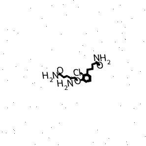 NC(=O)CCCc1cccc(OC[C@@H](N)CCC(N)=O)c1Cl